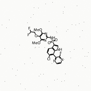 COc1nc(NS(=O)(=O)c2c[nH]c3c(-c4nccnc4F)c(Cl)ccc23)nc(OC)c1OCC(F)F